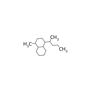 CCCC(C)C1CCC(C)C2CCCCC21